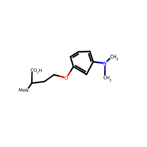 CNC(CCOc1cccc(N(C)C)c1)C(=O)O